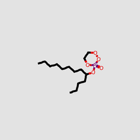 CCCCCCCCC(CCCC)OP1(=O)OCCOO1